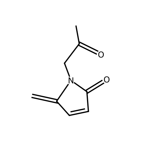 C=C1C=CC(=O)N1CC(C)=O